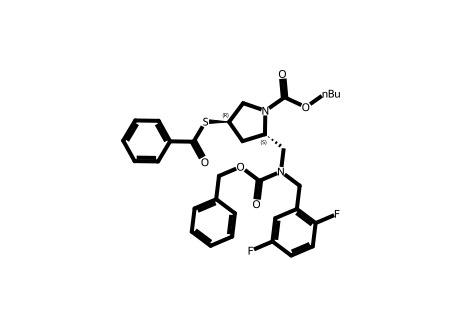 CCCCOC(=O)N1C[C@H](SC(=O)c2ccccc2)C[C@H]1CN(Cc1cc(F)ccc1F)C(=O)OCc1ccccc1